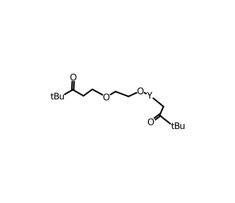 CC(C)(C)C(=O)CCOCC[O][Y][CH2]C(=O)C(C)(C)C